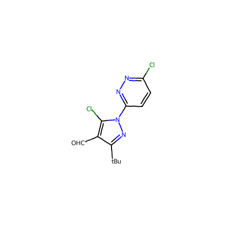 CC(C)(C)c1nn(-c2ccc(Cl)nn2)c(Cl)c1C=O